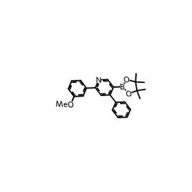 COc1cccc(-c2cc(-c3ccccc3)c(B3OC(C)(C)C(C)(C)O3)cn2)c1